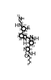 CCCCC(=O)Nc1cncc(-c2ccc3[nH]nc(-c4cc5c(-c6cc(F)cc(NCCN(C)C)c6)cccc5[nH]4)c3c2)c1